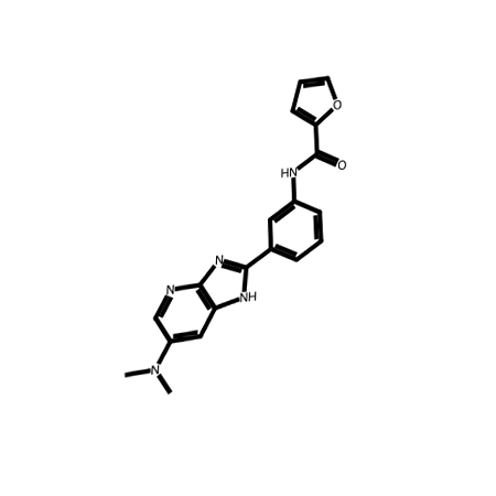 CN(C)c1cnc2nc(-c3cccc(NC(=O)c4ccco4)c3)[nH]c2c1